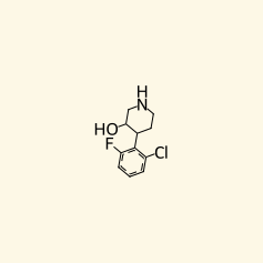 OC1CNCCC1c1c(F)cccc1Cl